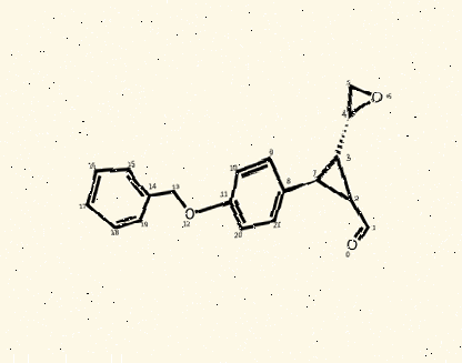 O=CC1C([C@@H]2CO2)[C@@H]1c1ccc(OCc2ccccc2)cc1